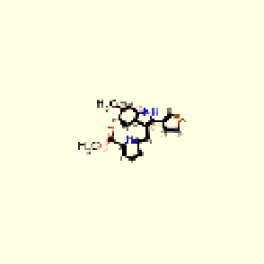 COC(=O)c1cccc(Cc2c(-c3ccsc3)[nH]c3cc(C)ccc23)n1